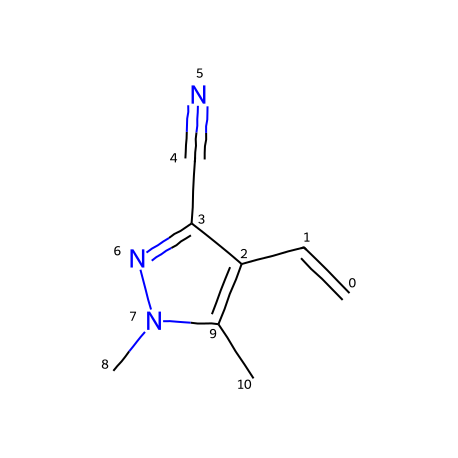 C=Cc1c(C#N)nn(C)c1C